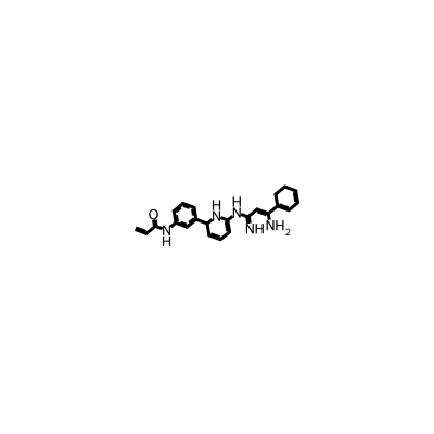 C=CC(=O)Nc1cccc(C2C=CC=C(NC(=N)/C=C(\N)C3=CC=CCC3)N2)c1